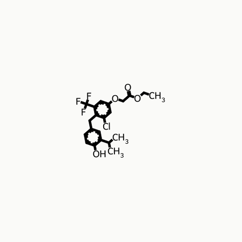 CCOC(=O)COc1cc(Cl)c(Cc2ccc(O)c(C(C)C)c2)c(C(F)(F)F)c1